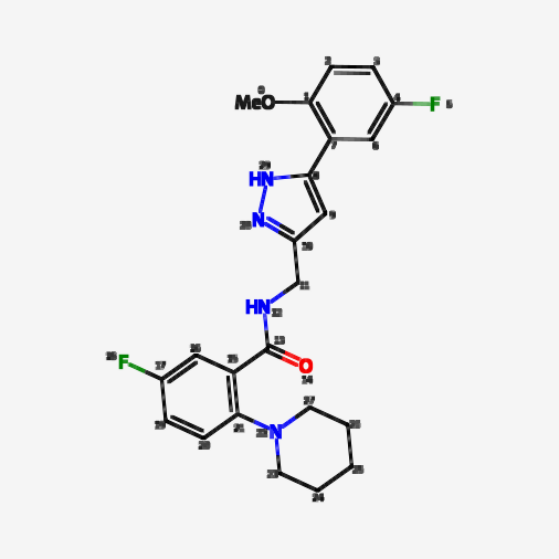 COc1ccc(F)cc1-c1cc(CNC(=O)c2cc(F)ccc2N2CCCCC2)n[nH]1